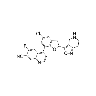 N#Cc1cc2nccc(-c3cc(Cl)cc4c3OC(c3onc5c3CNCC5)C4)c2cc1F